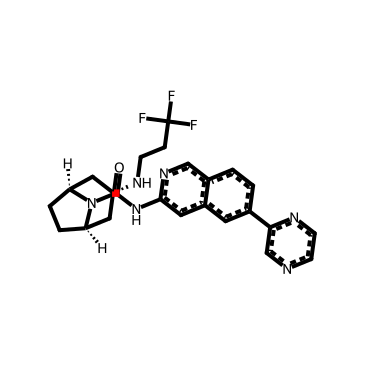 O=C(Nc1cc2cc(-c3cnccn3)ccc2cn1)N1[C@@H]2CC[C@H]1C[C@H](NCCC(F)(F)F)C2